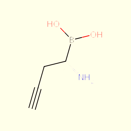 C#CC[C@@H](N)B(O)O